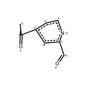 CC(=O)c1ccnc(C=O)c1